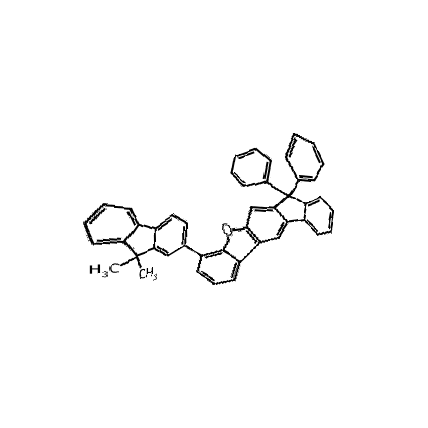 CC1(C)c2ccccc2-c2ccc(-c3cccc4c3oc3cc5c(cc34)-c3ccccc3C5(c3ccccc3)c3ccccc3)cc21